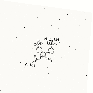 Cc1c(-c2cccc(S(=O)(=O)N(C)C)c2)c2cc(S(=O)(=O)C(C)C)ccc2n1C/C(F)=C/CNCl